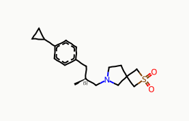 C[C@@H](Cc1ccc(C2CC2)cc1)CN1CCC2(C1)CS(=O)(=O)C2